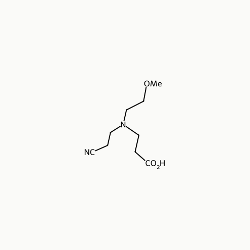 COCCN(CCC#N)CCC(=O)O